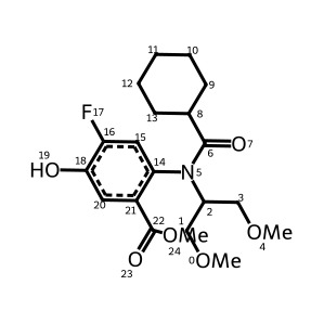 COCC(COC)N(C(=O)C1CCCCC1)c1cc(F)c(O)cc1C(=O)OC